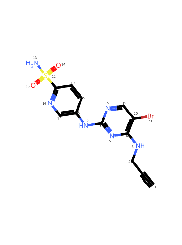 C#CCNc1nc(Nc2ccc(S(N)(=O)=O)nc2)ncc1Br